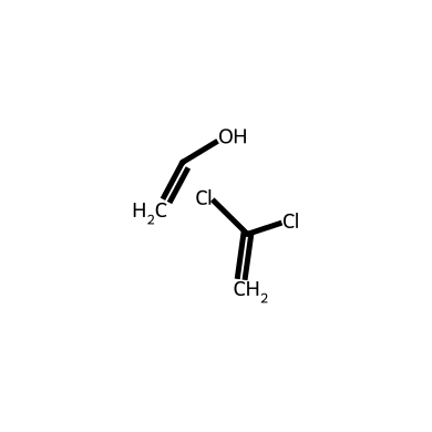 C=C(Cl)Cl.C=CO